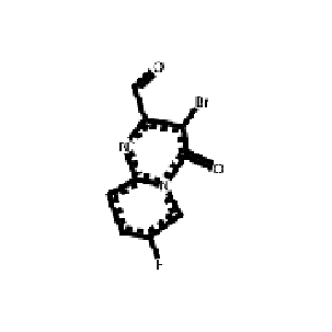 O=Cc1nc2ccc(F)cn2c(=O)c1Br